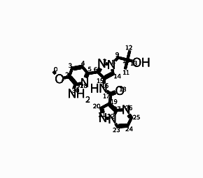 COc1ccc(-c2nn(CC(C)(C)O)cc2NC(=O)c2cnn3cccnc23)nc1N